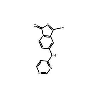 CC(C)C1=NC(=O)c2ccc(Nc3ccncn3)cc21